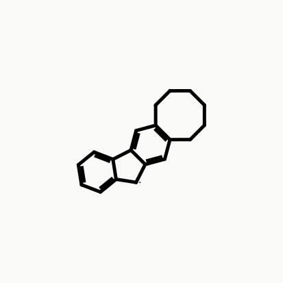 [CH]1c2ccccc2-c2cc3c(cc21)CCCCCC3